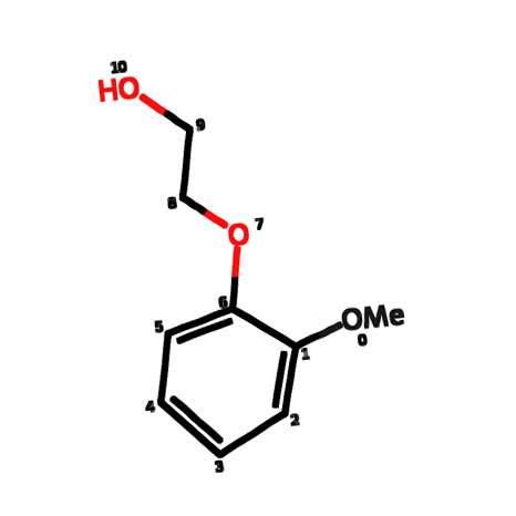 COc1ccccc1OCCO